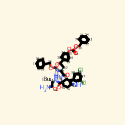 CCC(C)[C@H](NC(=O)[C@@]1(NC(=O)[C@H](CCc2ccc(OC(=O)OCc3ccccc3)cc2)NC(=O)OCc2ccccc2)CCc2[nH]c3c(Cl)cc(Cl)cc3c2C1)C(N)=O